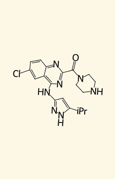 CC(C)c1cc(Nc2nc(C(=O)N3CCNCC3)nc3ccc(Cl)cc23)n[nH]1